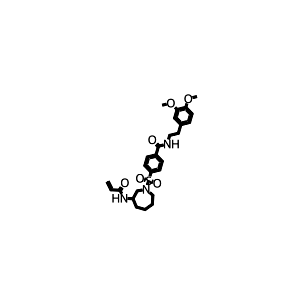 C=CC(=O)NC1CCCCN(S(=O)(=O)c2ccc(C(=O)NCCc3ccc(OC)c(OC)c3)cc2)C1